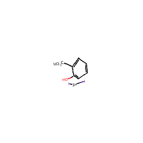 O=C(O)c1ccccc1O.[I][Zn][I]